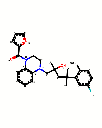 COc1ccc(F)cc1C(C)(C)CC(O)(CN1CCN(C(=O)c2ccco2)c2ccccc21)C(F)(F)F